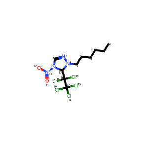 CCCCCCN1N=CN([N+](=O)[O-])C1C(Cl)(Cl)C(Cl)(Cl)Cl